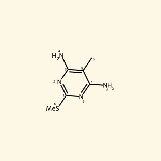 CSc1nc(N)c(C)c(N)n1